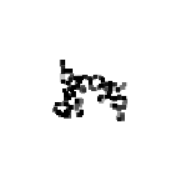 O=C(NC1CCC(CN2C(=O)C3(CN(c4cccnc4[N+](=O)[O-])C3)c3ccc(F)cc32)CC1)c1cc(Cl)cnc1C(F)F